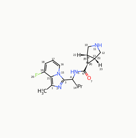 Cc1nc(C(NC(=O)[C@H]2[C@@H]3CNC[C@@H]32)C(C)C)n2cccc(F)c12